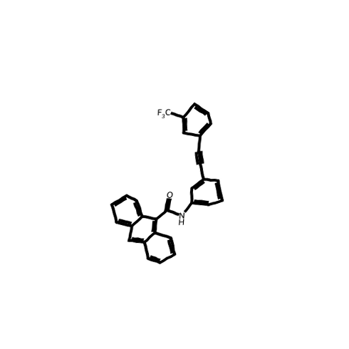 O=C(Nc1cccc(C#Cc2cccc(C(F)(F)F)c2)c1)c1c2ccccc2cc2ccccc12